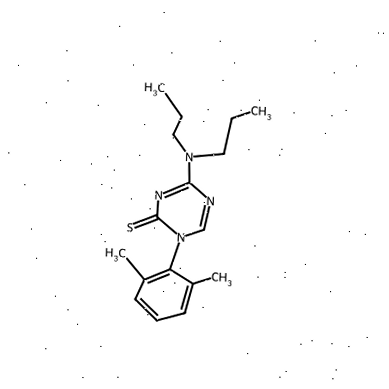 CCCN(CCC)c1ncn(-c2c(C)cccc2C)c(=S)n1